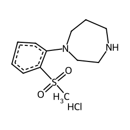 CS(=O)(=O)c1ccccc1N1CCCNCC1.Cl